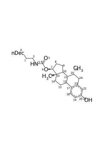 CCCCCCCCCCCCNC(=O)O[C@H]1CCC2C3C(CC[C@@]21C)c1ccc(O)cc1C[C@H]3C